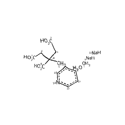 O.O.O=C(O)CC(O)(CC(=O)O)C(=O)O.[NaH].[NaH].c1ccncc1